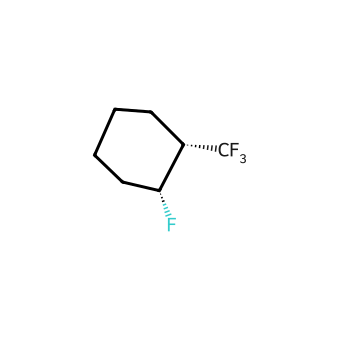 F[C@@H]1CCCC[C@@H]1C(F)(F)F